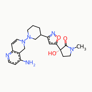 CN1CC[C@@](O)(c2cc(C3CCCN(N4C=Cc5nccc(N)c5C4)C3)no2)C1=O